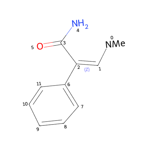 CN/C=C(\C(N)=O)c1ccccc1